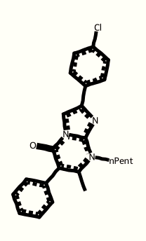 CCCCCn1c(C)c(-c2ccccc2)c(=O)n2cc(-c3ccc(Cl)cc3)nc12